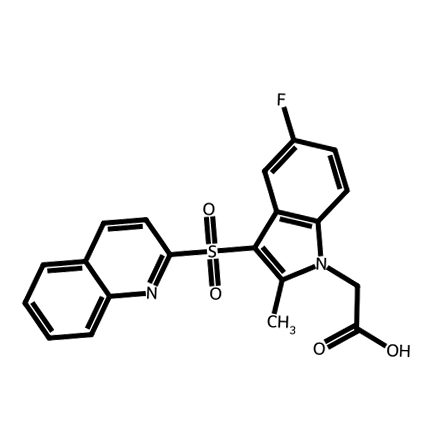 Cc1c(S(=O)(=O)c2ccc3ccccc3n2)c2cc(F)ccc2n1CC(=O)O